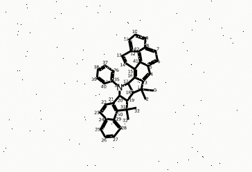 CC1(C)c2cc3ccc4cccc5ccc(c2C2C1C1C(c6ccc7ccccc7c6C1(C)C)N2c1ccccc1)c3c45